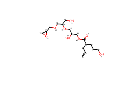 C=CCC(CCCO)C(=O)OCC(O)COC(CO)COCC1CO1